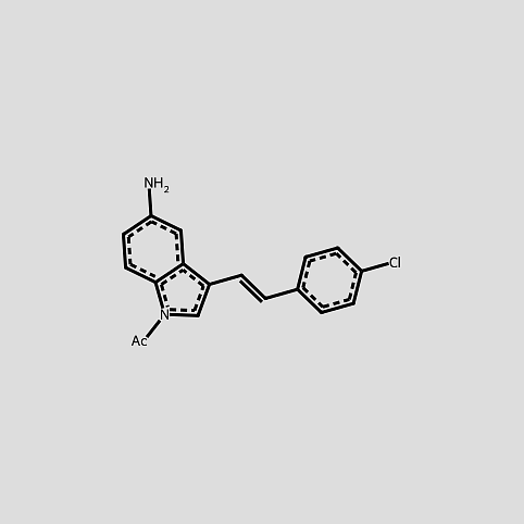 CC(=O)n1cc(C=Cc2ccc(Cl)cc2)c2cc(N)ccc21